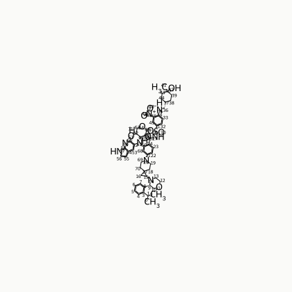 CC(C)c1ccccc1[C@@H]1COCCN1[C@H]1CC12CCN(c1ccc(C(=O)NS(=O)(=O)c3ccc(NC[C@H]4CC[C@](C)(O)CC4)c([N+](=O)[O-])c3)c(N3c4cc5cc[nH]c5nc4O[C@H]4COCC[C@@H]43)c1)CC2